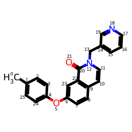 Cc1ccc(Oc2ccc3ccn(Cc4cccnc4)c(=O)c3c2)cc1